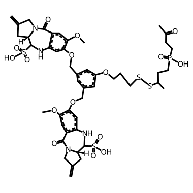 C=C1C[C@H]2C(S(=O)(=O)O)Nc3cc(OCc4cc(COc5cc6c(cc5OC)C(=O)N5CC(=C)C[C@H]5C(S(=O)(=O)O)N6)cc(OCCCSSC(C)CCP(=O)(O)CCC(C)=O)c4)c(OC)cc3C(=O)N2C1